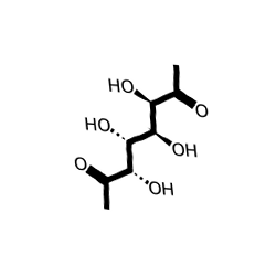 CC(=O)[C@@H](O)[C@H](O)[C@H](O)[C@@H](O)C(C)=O